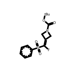 CC(C)(C)OC(=O)N1CC(=C(F)S(=O)(=O)c2ccccc2)C1